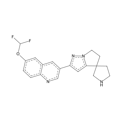 FC(F)Oc1ccc2ncc(-c3cc4n(n3)CCC43CCNC3)cc2c1